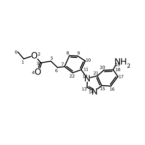 CCOC(=O)CCc1cccc(-n2cnc3ccc(N)cc32)c1